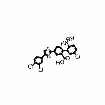 O=C(O)c1cc(-c2nc(-c3ccc(Cl)c(Cl)c3)cs2)ccc1-c1cc(Cl)ccc1NO